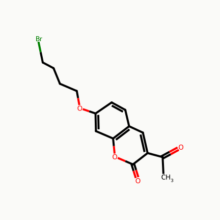 CC(=O)c1cc2ccc(OCCCCBr)cc2oc1=O